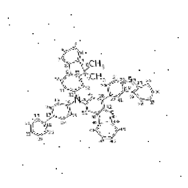 CC1(C)c2ccccc2-c2ccc(N(c3ccc(-c4ccccc4)cc3)c3cc(-c4ccc5sc6ccccc6c5c4)c4sc5ccccc5c4c3)cc21